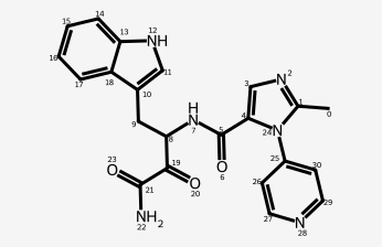 Cc1ncc(C(=O)NC(Cc2c[nH]c3ccccc23)C(=O)C(N)=O)n1-c1ccncc1